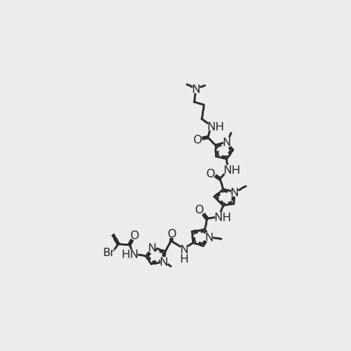 C=C(Br)C(=O)Nc1cn(C)c(C(=O)Nc2cc(C(=O)Nc3cc(C(=O)Nc4cc(C(=O)NCCCN(C)C)n(C)c4)n(C)c3)n(C)c2)n1